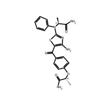 C[C@@H](Oc1ccc(C(=O)c2sc(N(c3ccccc3)[C@@H](C)C(N)=O)nc2N)cc1)C(N)=O